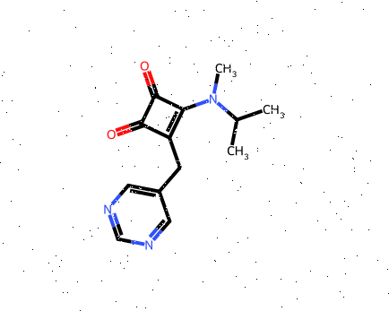 CC(C)N(C)c1c(Cc2cncnc2)c(=O)c1=O